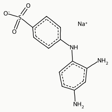 Nc1ccc(Nc2ccc(S(=O)(=O)[O-])cc2)c(N)c1.[Na+]